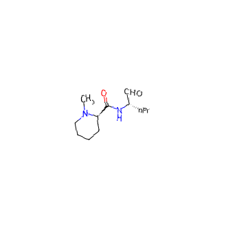 CCC[C@@H](C=O)NC(=O)[C@H]1CCCCN1C